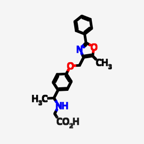 Cc1oc(-c2ccccc2)nc1COc1ccc(C(C)NCC(=O)O)cc1